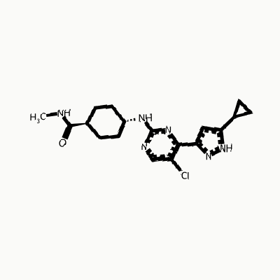 CNC(=O)[C@H]1CC[C@H](Nc2ncc(Cl)c(-c3cc(C4CC4)[nH]n3)n2)CC1